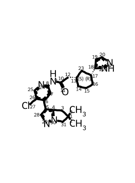 CC1(C)Cc2c(-c3cc(NC(=O)C[C@H]4CCC[C@@H](c5ccn[nH]5)C4)ncc3Cl)cnn2C1